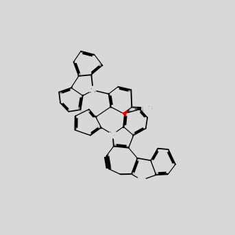 N#CC1C=CC(n2c3ccccc3c3ccccc32)=C(c2ccccc2-n2c3c(c4ccccc42)-c2c(oc4ccccc24)CC#C3)C1